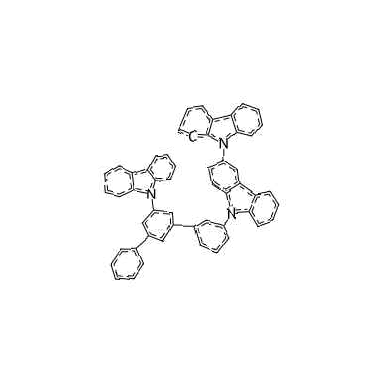 c1ccc(-c2cc(-c3cccc(-n4c5ccccc5c5cc(-n6c7ccccc7c7ccccc76)ccc54)c3)cc(-n3c4ccccc4c4ccccc43)c2)cc1